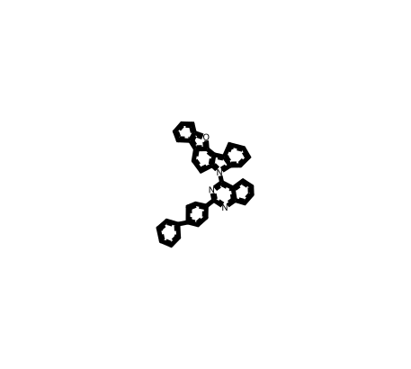 c1ccc(-c2ccc(-c3nc(-n4c5ccccc5c5c6oc7ccccc7c6ccc54)c4ccccc4n3)cc2)cc1